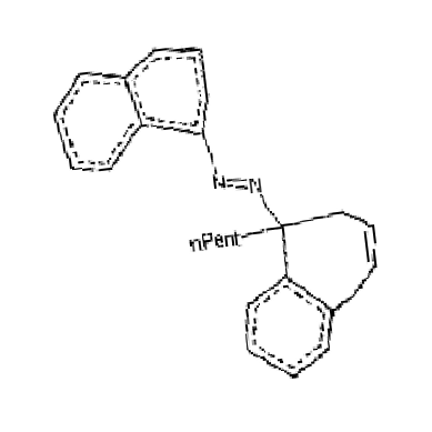 CCCCCC1(N=Nc2cccc3ccccc23)CC=Cc2ccccc21